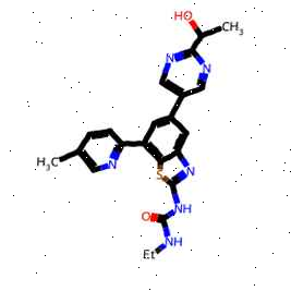 CCNC(=O)Nc1nc2cc(-c3cnc(C(C)O)nc3)cc(-c3ccc(C)cn3)c2s1